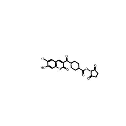 O=C(ON1C(=O)CCC1=O)C1CCN(C(=O)c2cc3cc(Cl)c(O)cc3oc2=O)CC1